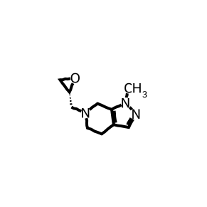 Cn1ncc2c1CN(C[C@@H]1CO1)CC2